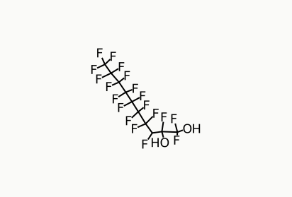 OC(F)(F)C(O)(F)C(F)C(F)(F)C(F)(F)C(F)(F)C(F)(F)C(F)(F)C(F)(F)C(F)(F)F